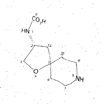 O=C(O)N[C@H]1COC2(CCNCC2)C1